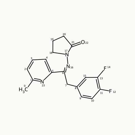 Cc1cccc(C(Cc2ccc(F)c(F)c2)=NN2CCCC2=O)n1